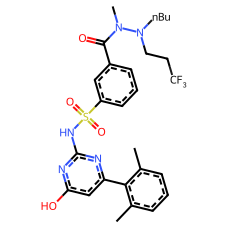 CCCCN(CCC(F)(F)F)N(C)C(=O)c1cccc(S(=O)(=O)Nc2nc(O)cc(-c3c(C)cccc3C)n2)c1